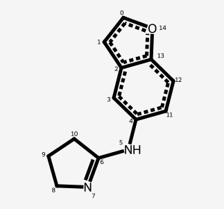 c1cc2cc(NC3=NCCC3)ccc2o1